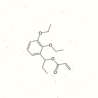 C=CC(=O)OC(CC)c1cccc(OCC)c1OCC